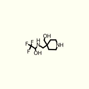 OCC1(CNC(O)C(F)(F)F)CCNCC1